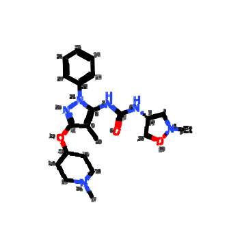 CCN1C[C@@H](NC(=O)Nc2c(C)c(OC3CCN(C)CC3)nn2-c2ccccc2)CO1